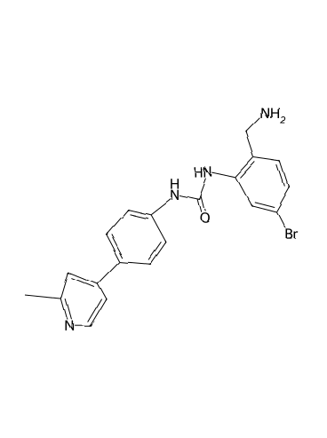 Cc1cc(-c2ccc(NC(=O)Nc3cc(Br)ccc3CN)cc2)ccn1